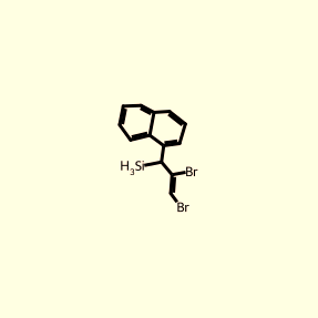 [SiH3]C(C(Br)=CBr)c1cccc2ccccc12